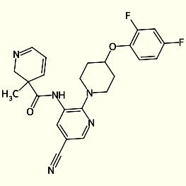 CC1(C(=O)Nc2cc(C#N)cnc2N2CCC(Oc3ccc(F)cc3F)CC2)C=CC=NC1